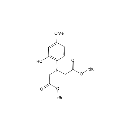 COc1ccc(N(CC(=O)OC(C)(C)C)CC(=O)OC(C)(C)C)c(O)c1